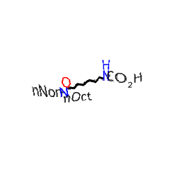 CCCCCCCCCN(CCCCCCCC)C(=O)CCCCCCCNC(=O)O